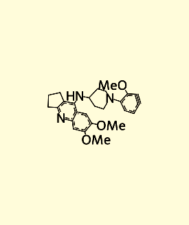 COc1c#cccc1N1CCC(Nc2c3c(nc4cc(OC)c(OC)cc24)CCC3)CC1